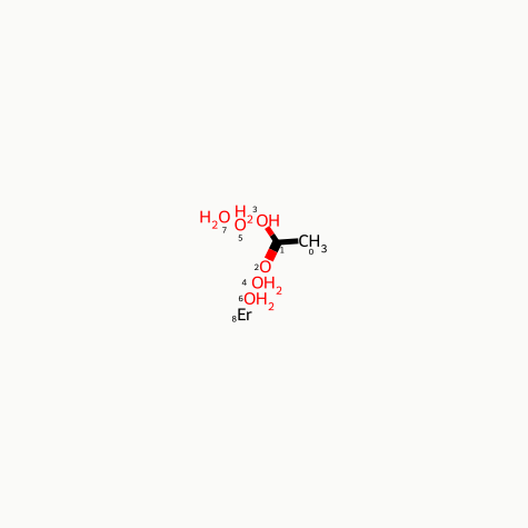 CC(=O)O.O.O.O.O.[Er]